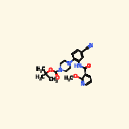 COc1ncccc1C(=O)Nc1cc(C#N)ccc1N1CCN(C(=O)OC(C)(C)C)CC1